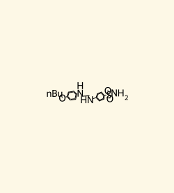 CCCCOc1ccc(NCCNc2ccc(S(N)(=O)=O)cc2)cc1